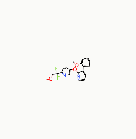 COCC(F)(F)c1ccc(Oc2ncccc2-c2ccccc2OC)cn1